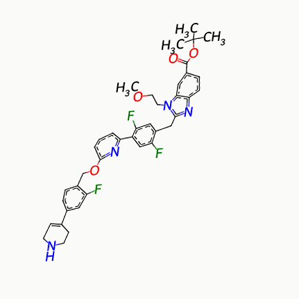 COCCn1c(Cc2cc(F)c(-c3cccc(OCc4ccc(C5=CCNCC5)cc4F)n3)cc2F)nc2ccc(C(=O)OC(C)(C)C)cc21